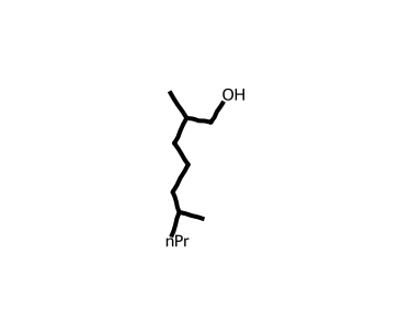 CCCC(C)CCCC(C)CO